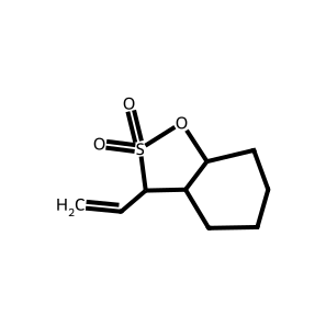 C=CC1C2CCCCC2OS1(=O)=O